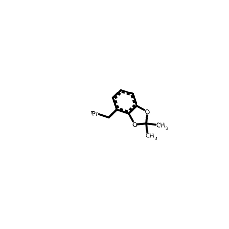 CC(C)Cc1cccc2c1OC(C)(C)O2